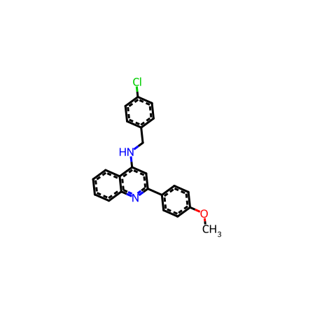 COc1ccc(-c2cc(NCc3ccc(Cl)cc3)c3ccccc3n2)cc1